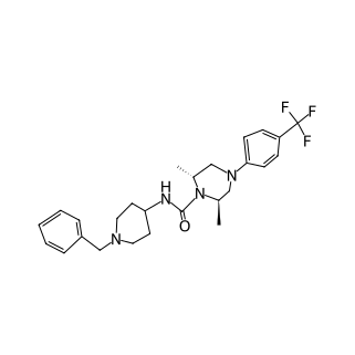 C[C@@H]1CN(c2ccc(C(F)(F)F)cc2)C[C@@H](C)N1C(=O)NC1CCN(Cc2ccccc2)CC1